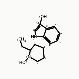 CCC1CCCCN1O.Oc1c[nH]c2ccccc12